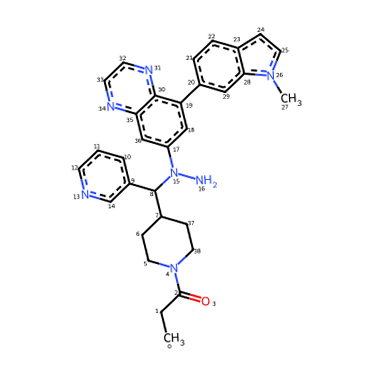 CCC(=O)N1CCC(C(c2cccnc2)N(N)c2cc(-c3ccc4ccn(C)c4c3)c3nccnc3c2)CC1